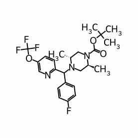 C[C@@H]1CN(C(=O)OC(C)(C)C)[C@@H](C)CN1C(c1ccc(F)cc1)c1ccc(OC(F)(F)F)cn1